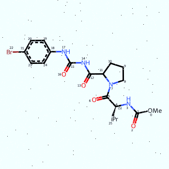 COC(=O)N[C@H](C(=O)N1CCCC1C(=O)NC(=O)Nc1ccc(Br)cc1)C(C)C